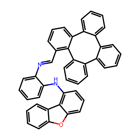 C(=N\c1ccccc1Nc1cccc2oc3ccccc3c12)/c1cccc2c1-c1ccccc1-c1ccccc1-c1ccccc1-2